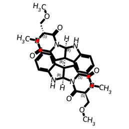 COC[C@]12SSC3(C[C@]4(C56C[C@@]78SS[C@@](COC)(C(=O)N7[C@H]5Nc5ccccc56)N(C)C8=O)c5ccccc5N[C@@H]4N3C1=O)C(=O)N2C